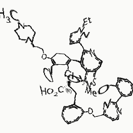 CCn1ccc(-c2ncc3snc(O[C@H](Cc4ccccc4OCc4ccnc(-c5ccccc5OC)n4)C(=O)O)c3c2C2=C(C)C(Cl)=C(OCCN3CCN(C)CC3)CC2)n1